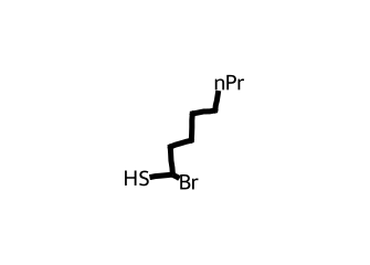 CCCCCCCC(S)Br